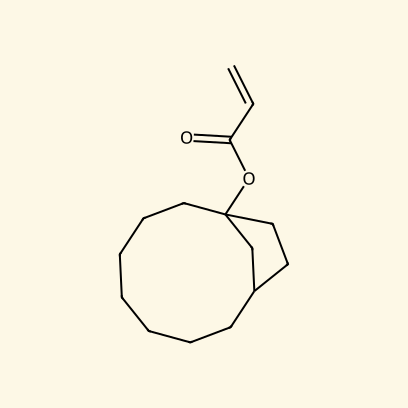 C=CC(=O)OC12CCCCCCCC(CC1)C2